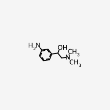 CN(C)CC(O)c1cccc(N)c1